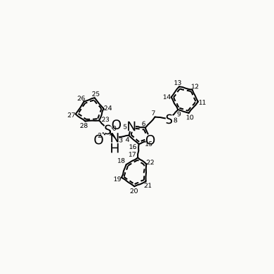 O=S(=O)(Nc1nc(CSc2ccccc2)oc1-c1ccccc1)c1ccccc1